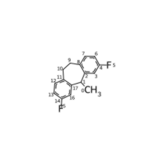 CC1c2cc(F)ccc2CCc2ccc(F)cc21